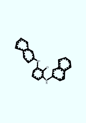 Clc1c(Nc2ccc3ccccc3c2)cccc1Nc1ccc2ccccc2c1